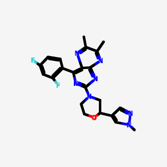 Cc1nc2nc(N3CCOC(c4cnn(C)c4)C3)nc(-c3ccc(F)cc3F)c2nc1C